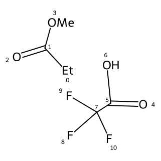 CCC(=O)OC.O=C(O)C(F)(F)F